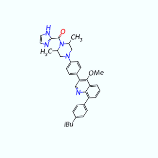 CCC(C)c1ccc(-c2cccc3c(OC)c(-c4ccc(N5CC(C)N(C(=O)c6ncc[nH]6)C(C)C5)cc4)cnc23)cc1